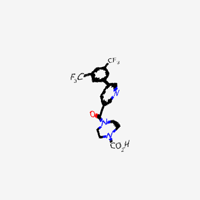 O=C(O)N1CCN(C(=O)c2cncc(-c3cc(C(F)(F)F)cc(C(F)(F)F)c3)c2)CC1